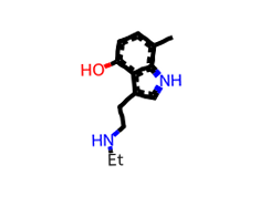 CCNCCc1c[nH]c2c(C)ccc(O)c12